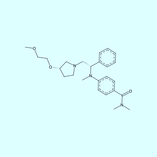 COCCO[C@H]1CCN(C[C@H](c2ccccc2)N(C)c2ccc(C(=O)N(C)C)cc2)C1